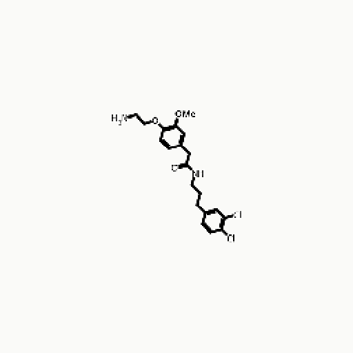 COc1cc(CC(=O)NCCCc2ccc(Cl)c(Cl)c2)ccc1OCCN